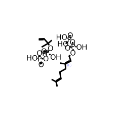 C=CC(C)(C)OP(=O)(O)OP(=O)(O)O.CC(C)=CCC/C(C)=C/COP(=O)(O)OP(=O)(O)O